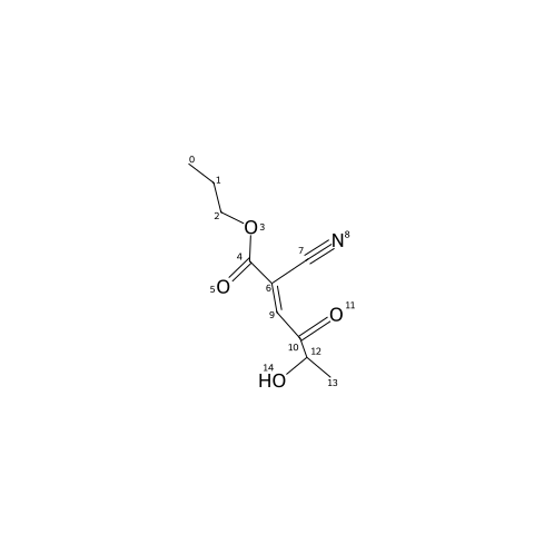 CCCOC(=O)C(C#N)=CC(=O)C(C)O